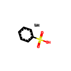 O=S(=O)(O)c1ccccc1.[LiH]